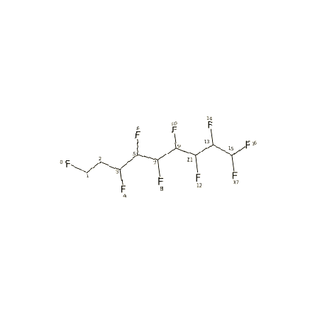 FCCC(F)C(F)C(F)C(F)C(F)C(F)C(F)F